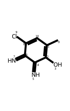 CC1=C(O)C(=N)C(=N)C(Cl)=C1